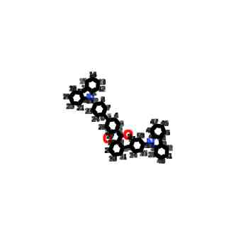 O=c1c2ccc(-c3ccc(-n4c5ccccc5c5ccccc54)cc3)cc2oc2cccc(-c3ccc(-n4c5ccccc5c5ccccc54)cc3)c12